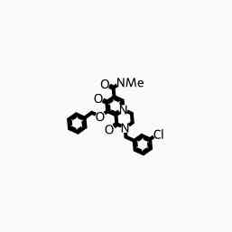 CNC(=O)c1cn2c(c(OCc3ccccc3)c1=O)C(=O)N(Cc1cccc(Cl)c1)CC2